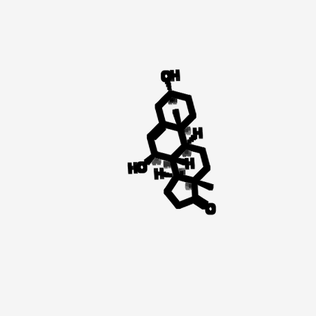 C[C@]12CC[C@@H](O)CC1=C[C@H](O)[C@@H]1[C@@H]2CC[C@]2(C)C(=O)CC[C@@H]12